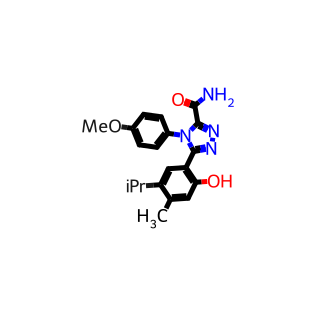 COc1ccc(-n2c(C(N)=O)nnc2-c2cc(C(C)C)c(C)cc2O)cc1